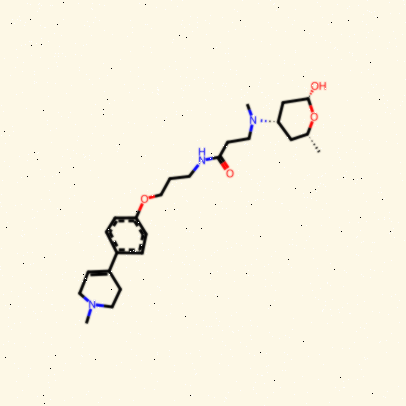 C[C@@H]1C[C@H](N(C)CCC(=O)NCCCOc2ccc(C3=CCN(C)CC3)cc2)C[C@H](O)O1